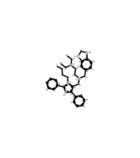 CCCCn1c(-c2ccccc2)nc(-c2ccccc2)c1CN(CCN(CC)CC)Cc1ccc2c(c1)OCO2